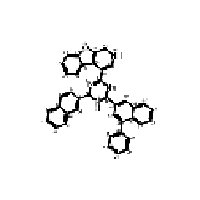 C1=C(C2=NC(c3ccc4ccccc4c3)NC(c3cc(-c4ccccc4)c4ccccc4c3)=N2)c2c(oc3ccccc23)CN1